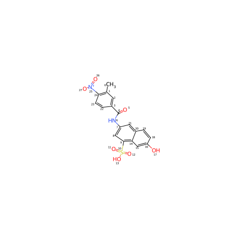 Cc1cc(C(=O)Nc2cc(S(=O)(=O)O)c3cc(O)ccc3c2)ccc1[N+](=O)[O-]